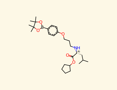 CC(C)C[C@@H](NCCCOc1ccc(B2OC(C)(C)C(C)(C)O2)cc1)C(=O)OC1CCCC1